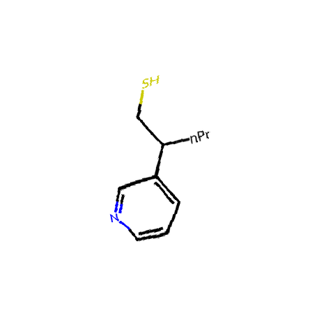 CCCC(CS)c1cccnc1